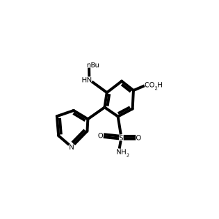 CCCCNc1cc(C(=O)O)cc(S(N)(=O)=O)c1-c1cccnc1